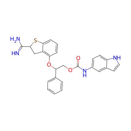 N=C(N)C1Cc2c(OC(COC(=O)Nc3ccc4[nH]ccc4c3)c3ccccc3)cccc2S1